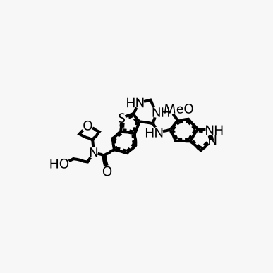 COc1cc2[nH]ncc2cc1NC1NCNc2sc3cc(C(=O)N(CCO)C4COC4)ccc3c21